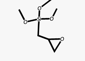 CO[Si](CC1CO1)(OC)OC